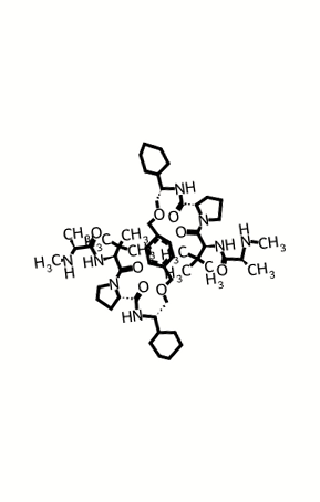 CN[C@@H](C)C(=O)N[C@H](C(=O)N1CCC[C@H]1C(=O)N[C@H](COCc1ccc(COC[C@@H](NC(=O)[C@@H]2CCCN2C(=O)[C@@H](NC(=O)[C@H](C)NC)C(C)(C)C)C2CCCCC2)cc1)C1CCCCC1)C(C)(C)C